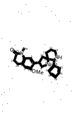 COc1cc2c(cc1C1CNC3(CCCNC3c3ccccc3)C1)N(C)C(=O)CC2